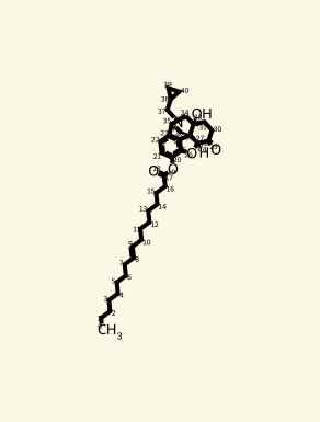 CCCCCCCCC=CCCCCCCCC(=O)Oc1ccc2c3c1O[C@H]1C(=O)CC[C@@]4(O)C(C2)N(CC2CC2)CC[C@]314